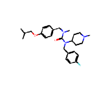 CC(C)COc1ccc(CN(C)C(=O)N(Cc2ccc(F)cc2)C2CCN(C)CC2)cc1